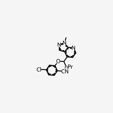 CCCC(Oc1cc(Cl)ccc1C#N)c1ccnc2c1cnn2C